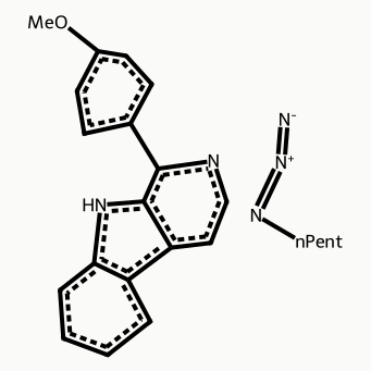 CCCCCN=[N+]=[N-].COc1ccc(-c2nccc3c2[nH]c2ccccc23)cc1